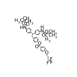 CC(C)(C)OC(=O)Nc1ccc(C(Cc2ccc(OC(=O)c3ccc(OCCCC(F)(F)F)cc3)cc2)c2ccc(NC(=O)OC(C)(C)C)cc2)cc1